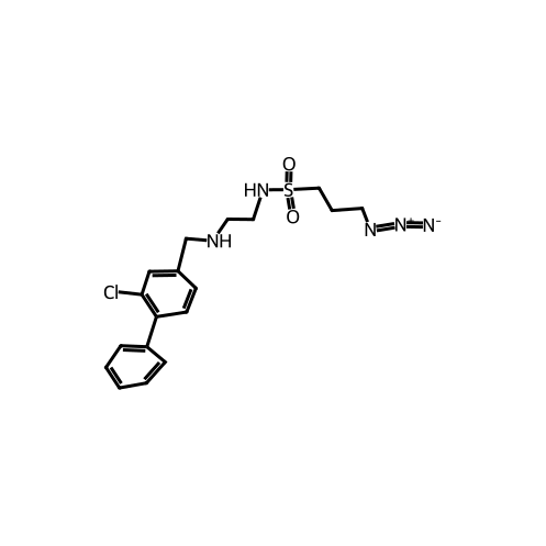 [N-]=[N+]=NCCCS(=O)(=O)NCCNCc1ccc(-c2ccccc2)c(Cl)c1